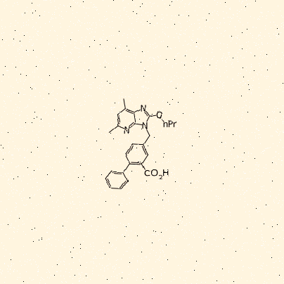 CCCOc1nc2c(C)cc(C)nc2n1Cc1ccc(-c2ccccc2)c(C(=O)O)c1